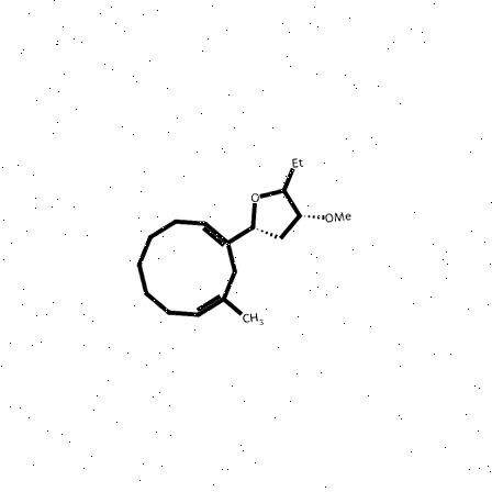 CCC1O[C@@H](/C2=C/CCCCC/C=C(/C)C2)C[C@H]1OC